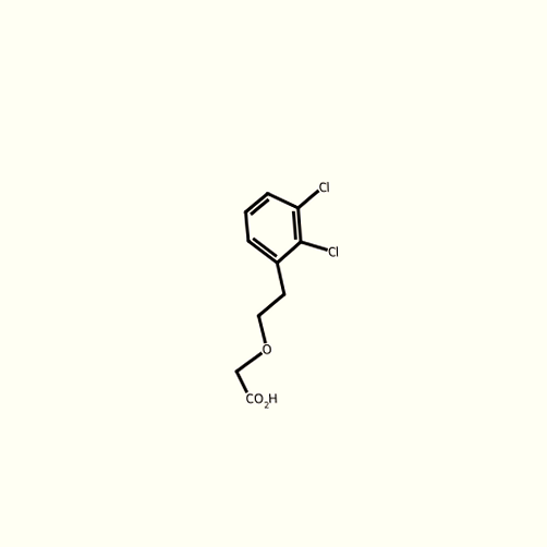 O=C(O)COCCc1cccc(Cl)c1Cl